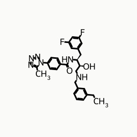 CCc1cccc(CNC[C@H](O)[C@H](Cc2cc(F)cc(F)c2)NC(=O)c2ccc(-n3nnnc3C)cc2)c1